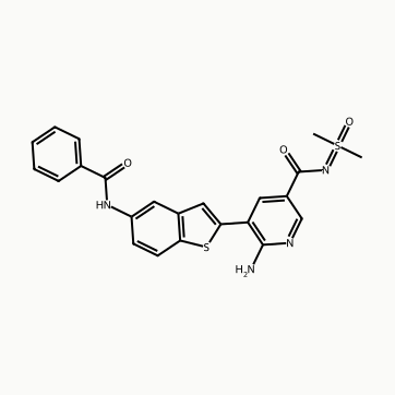 CS(C)(=O)=NC(=O)c1cnc(N)c(-c2cc3cc(NC(=O)c4ccccc4)ccc3s2)c1